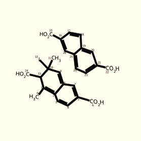 CC1=c2ccc(C(=O)O)cc2=CC(C)(I)C1C(=O)O.O=C(O)c1ccc2cc(C(=O)O)ccc2c1